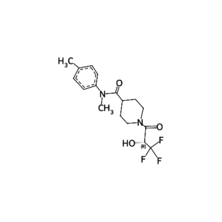 Cc1ccc(N(C)C(=O)C2CCN(C(=O)[C@@H](O)C(F)(F)F)CC2)cc1